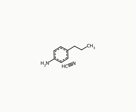 C#N.CCCc1ccc(N)cc1